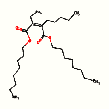 CCCCCCCCOC(=O)C(CC)=C(CCCCC)C(=O)OCCCCCCCC